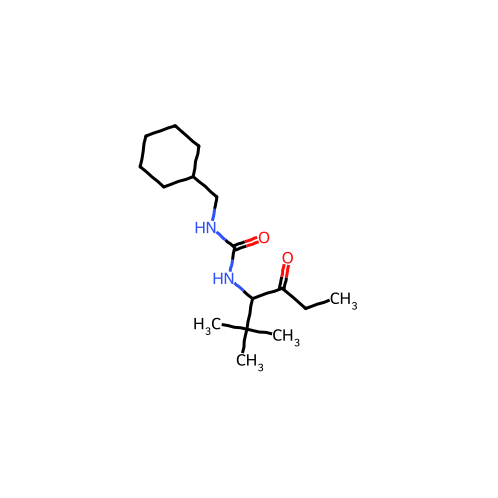 CCC(=O)C(NC(=O)NCC1CCCCC1)C(C)(C)C